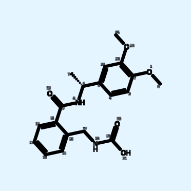 COc1ccc([C@@H](C)NC(=O)c2ccccc2CNC(=O)O)cc1OC